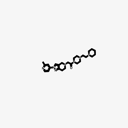 Cc1cc(-n2cc3c(n2)CCN(CC(=O)N2CCN(CCN4CCCCC4)CC2)C3)ccn1